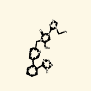 CCCCc1cn(-c2nncn2CC(C)C)c(=O)n1Cc1ccc(-c2ccccc2-c2nnn[nH]2)cn1